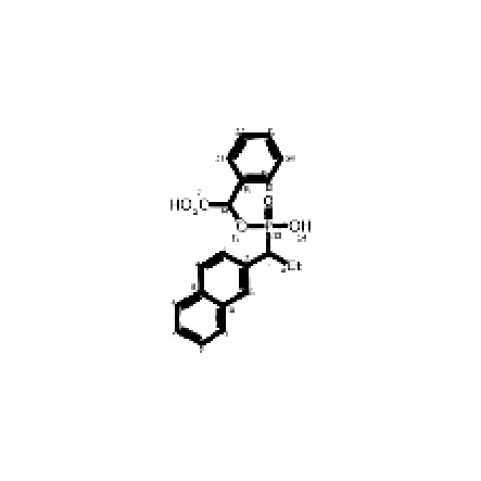 CCC(c1ccc2ccccc2c1)P(=O)(O)OC(C(=O)O)c1ccccc1